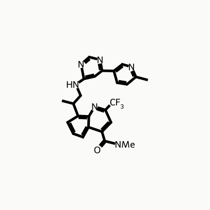 CNC(=O)c1cc(C(F)(F)F)nc2c(C(C)CNc3cc(-c4ccc(C)nc4)ncn3)cccc12